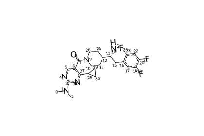 CN(C)c1ncc(C(=O)N2CCC([C@H](N)Cc3cc(F)c(F)cc3F)CC2)c(C2CC2)n1